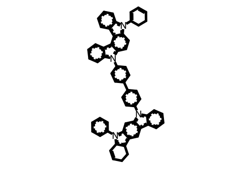 C1=CCCC(n2c3ccccc3c3c4c5ccccc5n(-c5ccc(-c6ccc(-n7c8ccccc8c8cc9c%10c(n(-c%11ccccc%11)c9cc87)C=CCC%10)cc6)cc5)c4ccc32)=C1